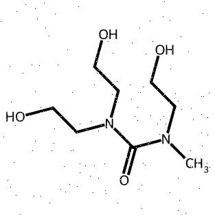 CN(CCO)C(=O)N(CCO)CCO